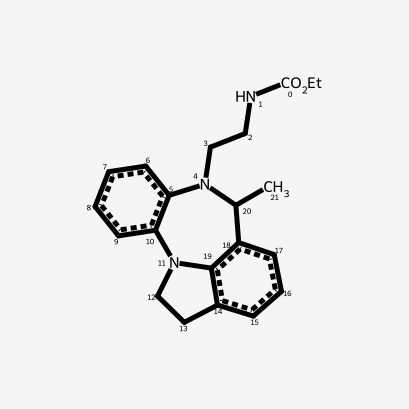 CCOC(=O)NCCN1c2ccccc2N2CCc3cccc(c32)C1C